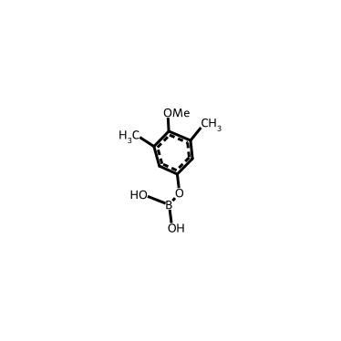 COc1c(C)cc(OB(O)O)cc1C